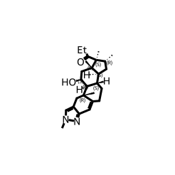 CCC(=O)[C@@]1(C)[C@H](C)C[C@H]2[C@@H]3CCC4=Cc5nn(C)cc5C[C@]4(C)[C@H]3[C@@H](O)C[C@@]21C